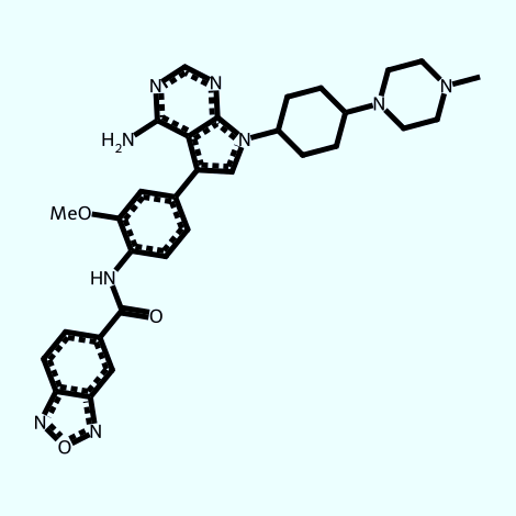 COc1cc(-c2cn(C3CCC(N4CCN(C)CC4)CC3)c3ncnc(N)c23)ccc1NC(=O)c1ccc2nonc2c1